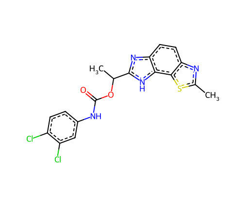 Cc1nc2ccc3nc(C(C)OC(=O)Nc4ccc(Cl)c(Cl)c4)[nH]c3c2s1